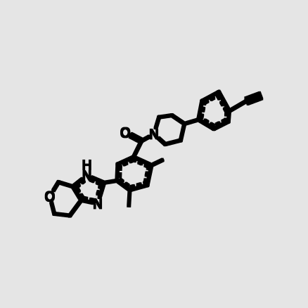 C#Cc1ccc(C2CCN(C(=O)c3cc(-c4nc5c([nH]4)COCC5)c(C)cc3C)CC2)cc1